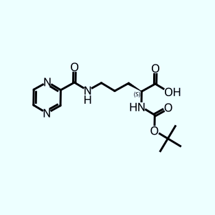 CC(C)(C)OC(=O)N[C@@H](CCCNC(=O)c1cnccn1)C(=O)O